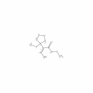 CCOC(=O)/C(=N\O)C1(CCl)OCCO1